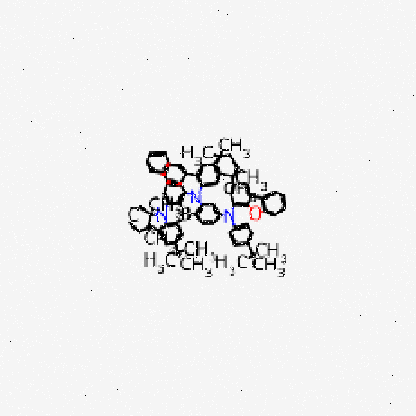 CC(C)(C)c1ccc(N(c2ccc3c(c2)N(c2cc4c(cc2-c2ccccc2)C(C)(C)CCC4(C)C)c2cc(-c4ccccc4)cc4c2B3c2cc(C(C)(C)C)cc3c2N4C2(C)CCCCC32C)c2cccc3c2oc2ccccc23)cc1